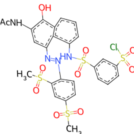 CC(=O)Nc1cc(N=Nc2ccc(S(C)(=O)=O)cc2S(C)(=O)=O)c2c(NS(=O)(=O)c3cccc(S(=O)(=O)Cl)c3)cccc2c1O